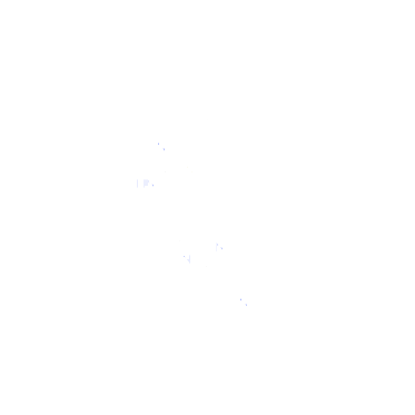 Cc1cccc(C(C)C)c1NC(=S)NC1CCC(Nc2cc(N(C)C)c3ccccc3n2)CC1